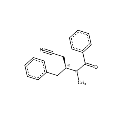 CN(C(=O)c1ccccc1)[C@H](CC#N)Cc1ccccc1